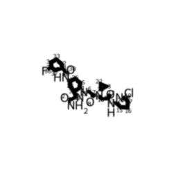 NC(=O)c1nn(CC(=O)N(CC(=O)Nc2cccc(Cl)n2)C2CC2)c2ccc(NC(=O)c3cccc(F)c3)cc12